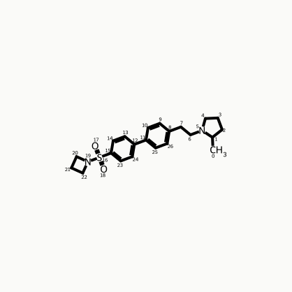 CC1CCCN1CCc1ccc(-c2ccc(S(=O)(=O)N3CCC3)cc2)cc1